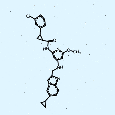 COc1cc(NCc2cn3cc(C4CC4)ccc3n2)cc(NC(=O)C2CC2c2cccc(Cl)c2)n1